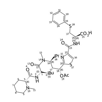 CC[C@H](C)[C@H](NC(=O)[C@H]1CCCCN1C)C(=O)N(C)[C@H](C[C@@H](OC(C)=O)c1nc(C(=O)N[C@@H](CSc2ccccc2)C(=O)O)cs1)C(C)C